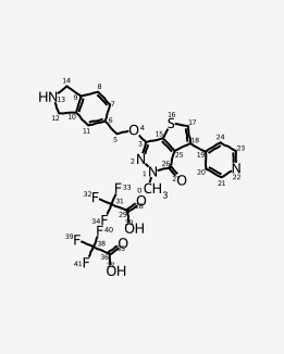 Cn1nc(OCc2ccc3c(c2)CNC3)c2scc(-c3ccncc3)c2c1=O.O=C(O)C(F)(F)F.O=C(O)C(F)(F)F